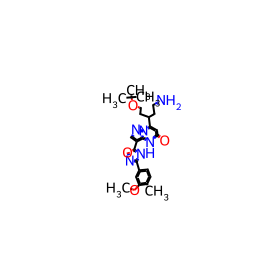 COc1cc(-c2noc(-c3cnn4c(C(CCN)CCOC(C)(C)C)cc(=O)[nH]c34)n2)ccc1C